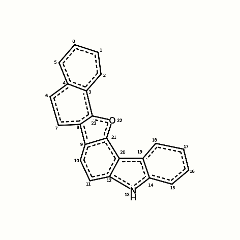 c1ccc2c(c1)ccc1c3ccc4[nH]c5ccccc5c4c3oc21